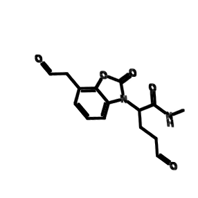 CNC(=O)C(CCC=O)n1c(=O)oc2c(CC=O)cccc21